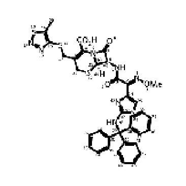 CON=C(C(=O)N[C@@H]1C(=O)N2C(C(=O)O)=C(CSc3nnsc3C)CS[C@H]12)c1csc(NC(c2ccccc2)(c2ccccc2)c2ccccc2)n1